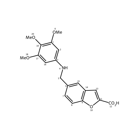 COc1cc(NCc2ccc3oc(C(=O)O)cc3c2)cc(OC)c1OC